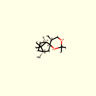 C[C@H]1COC(C)(C)O[C@@]12C[C@H]1CC[C@]2(C)C1(C)C